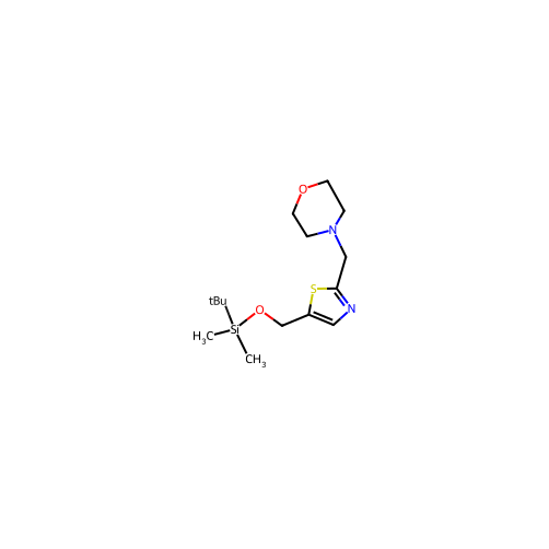 CC(C)(C)[Si](C)(C)OCc1cnc(CN2CCOCC2)s1